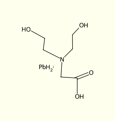 O=C(O)CN(CCO)CCO.[PbH2]